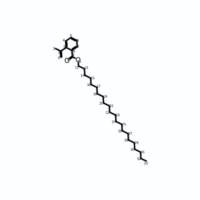 C=C(C)c1ccccc1C(=O)OCCCCCCCCCCCCCCCCCCCCCC